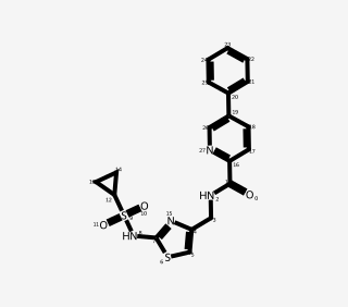 O=C(NCc1csc(NS(=O)(=O)C2CC2)n1)c1ccc(-c2ccccc2)cn1